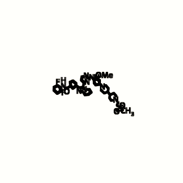 COc1cc(N2CCC(C3CCN(CCS(C)(=O)=O)CC3)CC2)ccc1Nc1nccc(-c2c(-c3cccc(C(=O)Nc4c(F)cccc4F)c3)nc3ccccn23)n1